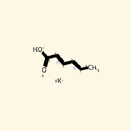 C/C=C/C=C/C(=O)O.[K]